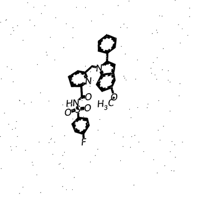 COc1ccc2c(c1)cc(-c1ccccc1)n2Cc1cccc(C(=O)NS(=O)(=O)c2ccc(F)cc2)n1